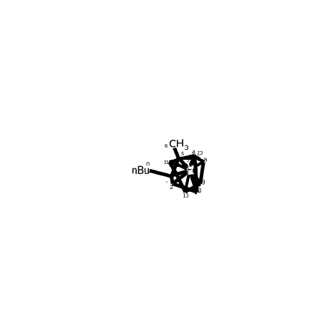 CCCC[C]12[CH]3[CH]4[CH]5[C]1(C)[Fe]45321678[CH]2[CH]1[CH]6[CH]7[CH]28